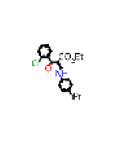 CCOC(=O)C(=CNc1ccc(C(C)C)cc1)C(=O)c1ccccc1Cl